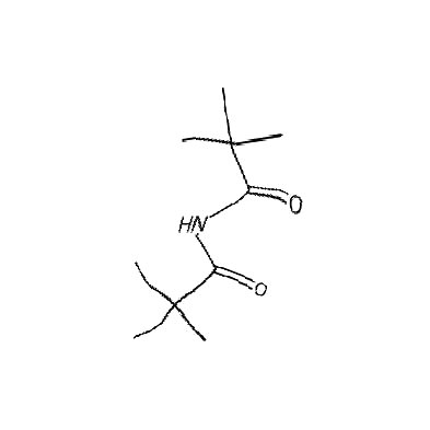 CC(C)(C)C(=O)NC(=O)C(C)(C)C